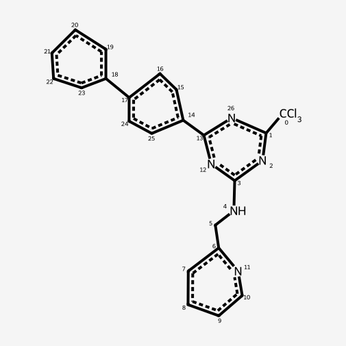 ClC(Cl)(Cl)c1nc(NCc2ccccn2)nc(-c2ccc(-c3ccccc3)cc2)n1